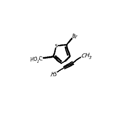 CC#CS.O=C(O)c1ccc(Br)s1